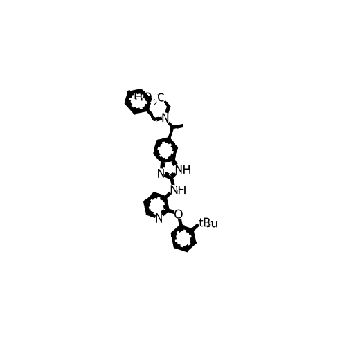 CC(c1ccc2nc(Nc3cccnc3Oc3ccccc3C(C)(C)C)[nH]c2c1)N(CC(=O)O)Cc1ccccc1